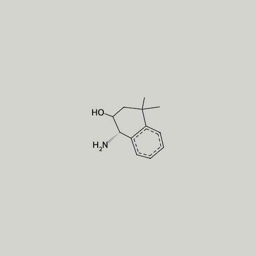 CC1(C)CC(O)[C@@H](N)c2ccccc21